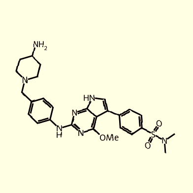 COc1nc(Nc2ccc(CN3CCC(N)CC3)cc2)nc2[nH]cc(-c3ccc(S(=O)(=O)N(C)C)cc3)c12